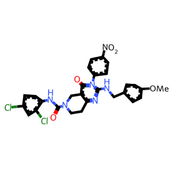 COc1ccc(CNc2nc3c(c(=O)n2-c2ccc([N+](=O)[O-])cc2)CN(C(=O)Nc2ccc(Cl)cc2Cl)CC3)cc1